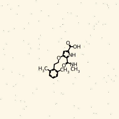 CNC(=O)c1[nH]c(C(=O)O)cc1OCCc1c(C)cccc1C